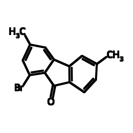 Cc1ccc2c(c1)-c1cc(C)cc(Br)c1C2=O